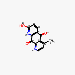 Cc1ccnc2c1C(=O)c1ccc(O)nc1C2=O